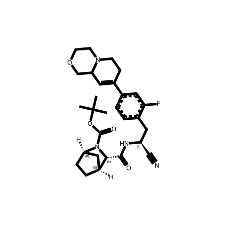 CC(C)(C)OC(=O)N1[C@@H]2CC[C@@H](C2)[C@H]1C(=O)N[C@H](C#N)Cc1ccc(C2=CC3COCCN3CC2)cc1F